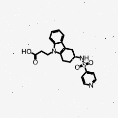 O=C(O)CCn1c2c(c3ccccc31)CC(NS(=O)(=O)c1ccncc1)CC2